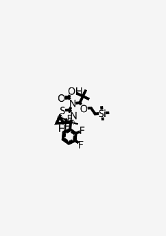 CC(C)(C)C(OCC[Si](C)(C)C)N(C(=O)O)C1=N[C@](C)(c2cccc(F)c2F)[C@@H]2C[C@]2(C(F)F)S1